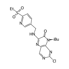 CC[C@H](C)n1c(=O)c(NCc2ccc(S(=O)(=O)CC)nc2)nc2cnc(Cl)nc21